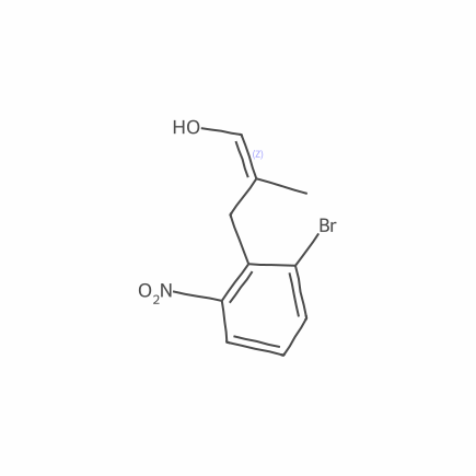 C/C(=C/O)Cc1c(Br)cccc1[N+](=O)[O-]